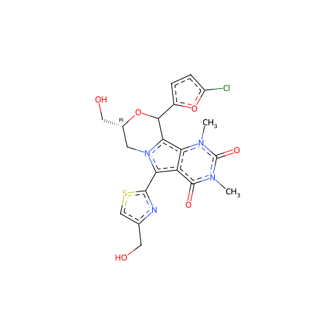 Cn1c(=O)c2c(-c3nc(CO)cs3)n3c(c2n(C)c1=O)C(c1ccc(Cl)o1)O[C@@H](CO)C3